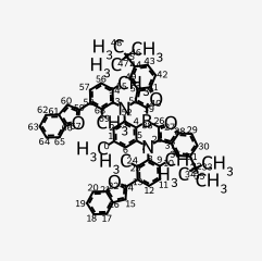 Cc1cc2c3c(c1)N(c1c(C)ccc(-c4cc5ccccc5o4)c1C)c1c(oc4ccc(C(C)(C)C)cc14)B3c1oc3ccc(C(C)(C)C)cc3c1N2c1c(C)ccc(-c2cc3ccccc3o2)c1C